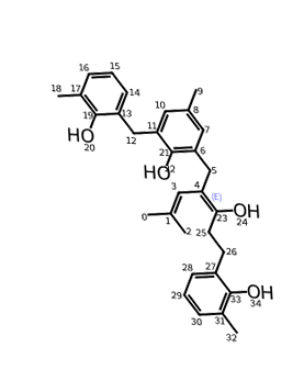 CC(C)=C/C(Cc1cc(C)cc(Cc2cccc(C)c2O)c1O)=C(/O)CCc1cccc(C)c1O